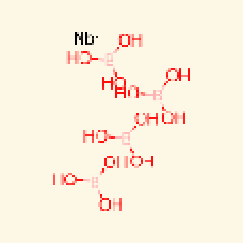 OB(O)O.OB(O)O.OB(O)O.OB(O)O.[Nb]